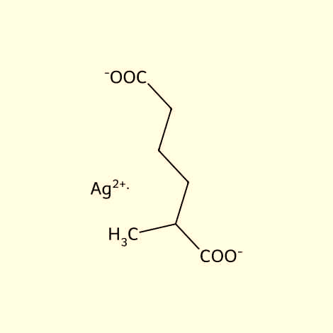 CC(CCCC(=O)[O-])C(=O)[O-].[Ag+2]